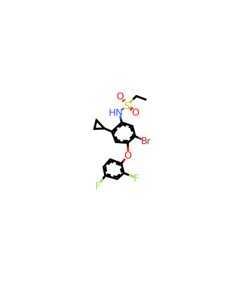 CCS(=O)(=O)Nc1cc(Br)c(Oc2ccc(F)cc2F)cc1C1CC1